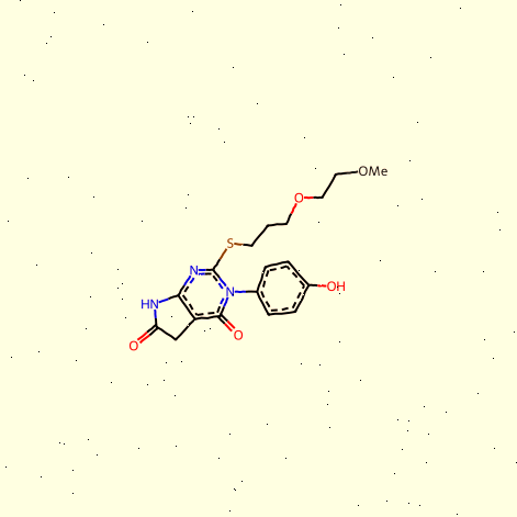 COCCOCCCSc1nc2c(c(=O)n1-c1ccc(O)cc1)CC(=O)N2